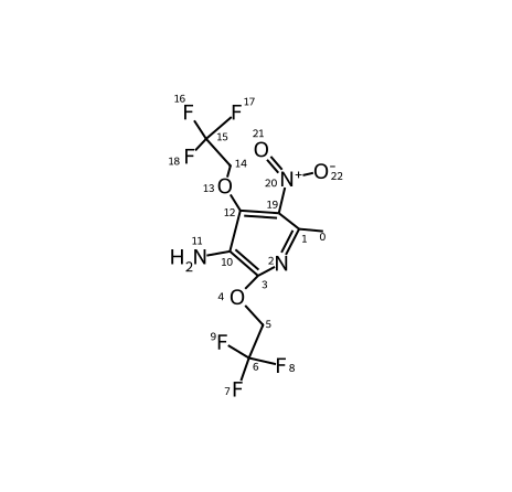 Cc1nc(OCC(F)(F)F)c(N)c(OCC(F)(F)F)c1[N+](=O)[O-]